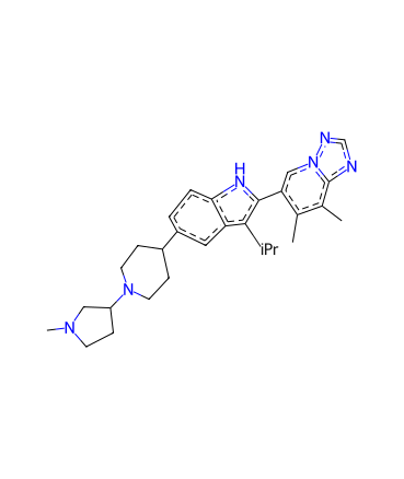 Cc1c(-c2[nH]c3ccc(C4CCN(C5CCN(C)C5)CC4)cc3c2C(C)C)cn2ncnc2c1C